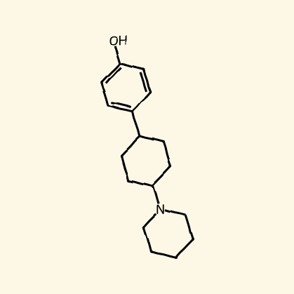 Oc1ccc(C2CCC(N3CCCCC3)CC2)cc1